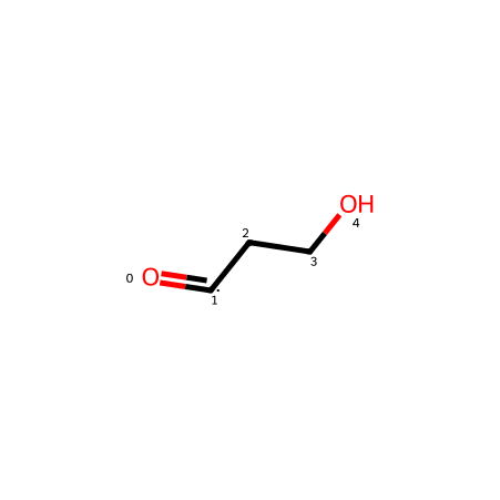 O=[C]CCO